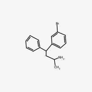 CC(N)[CH]C(c1ccccc1)c1cccc(Br)c1